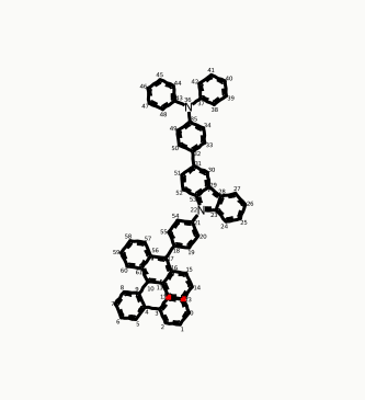 c1ccc(-c2ccccc2-c2c3ccccc3c(-c3ccc(-n4c5ccccc5c5cc(-c6ccc(N(c7ccccc7)c7ccccc7)cc6)ccc54)cc3)c3ccccc23)cc1